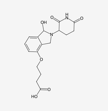 O=C(O)CCCOc1cccc2c1CN(C1CCC(=O)NC1=O)C2O